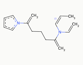 C=CN(/C=C\C)C(=C)CCCC(=C)n1cccc1